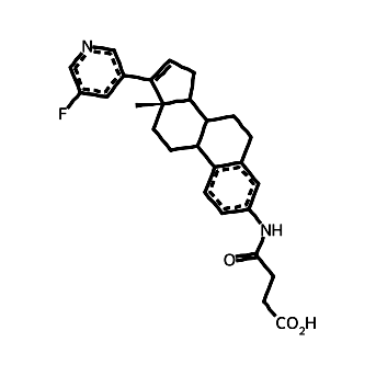 C[C@]12CCC3c4ccc(NC(=O)CCC(=O)O)cc4CCC3C1CC=C2c1cncc(F)c1